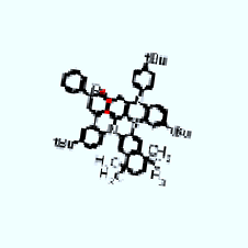 CC(C)c1cc2c3c(c1)N(c1ccc(C(C)(C)C)cc1-c1cccc(-c4ccccc4)c1)c1cc4c(cc1B3c1cc(C(C)(C)C)ccc1N2c1ccc(C(C)(C)C)cc1)C(C)(C)CCC4(C)C